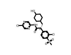 CS(=O)(=O)c1ccc([C@@H](CC2CCC(O)CC2)C(=O)Nc2cnc(Cl)cn2)cc1Cl